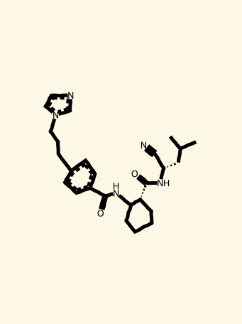 CC(C)C[C@@H](C#N)NC(=O)[C@@H]1CCCCC1NC(=O)c1ccc(CCCn2ccnc2)cc1